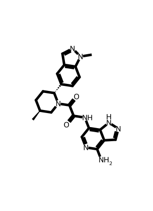 C[C@H]1CC[C@H](c2ccc3c(cnn3C)c2)N(C(=O)C(=O)Nc2cnc(N)c3cn[nH]c23)C1